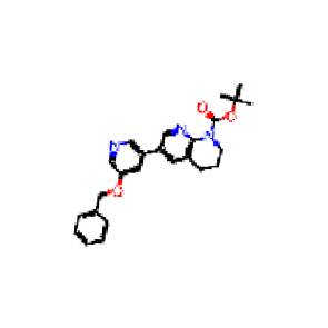 CC(C)(C)OC(=O)N1CCCc2cc(-c3cncc(OCc4ccccc4)c3)cnc21